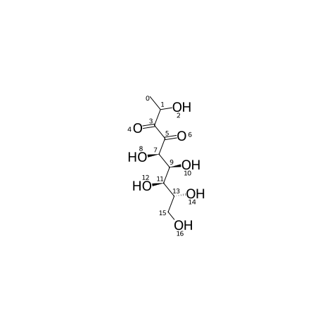 CC(O)C(=O)C(=O)[C@H](O)[C@@H](O)[C@H](O)[C@H](O)CO